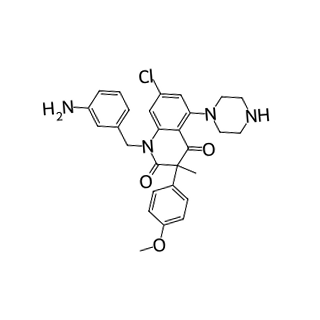 COc1ccc(C2(C)C(=O)c3c(N4CCNCC4)cc(Cl)cc3N(Cc3cccc(N)c3)C2=O)cc1